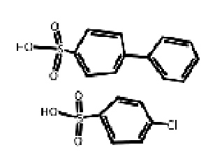 O=S(=O)(O)c1ccc(-c2ccccc2)cc1.O=S(=O)(O)c1ccc(Cl)cc1